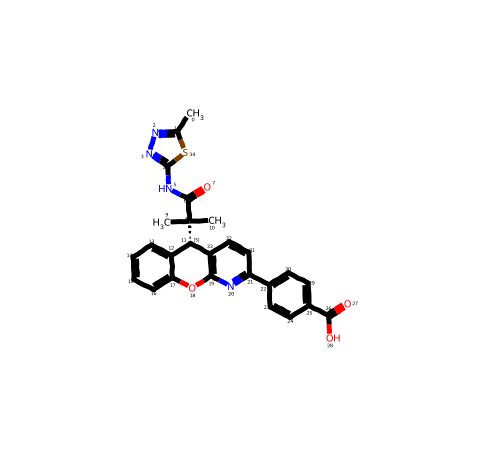 Cc1nnc(NC(=O)C(C)(C)[C@H]2c3ccccc3Oc3nc(-c4ccc(C(=O)O)cc4)ccc32)s1